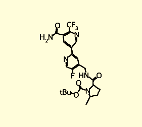 CC1CCC(C(=O)NCc2cc(-c3cnc(C(F)(F)F)c(C(N)=O)c3)ncc2F)N1C(=O)OC(C)(C)C